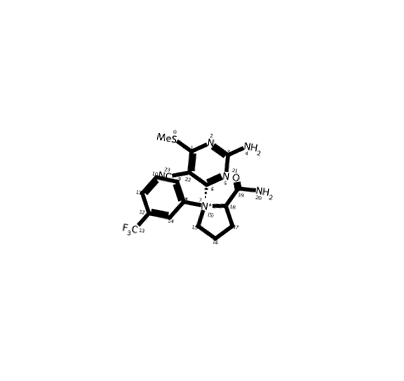 CSc1nc(N)nc([N@@+]2(c3cccc(C(F)(F)F)c3)CCCC2C(N)=O)c1C#N